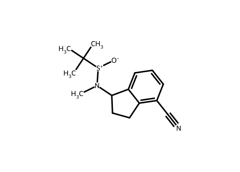 CN(C1CCc2c(C#N)cccc21)[S+]([O-])C(C)(C)C